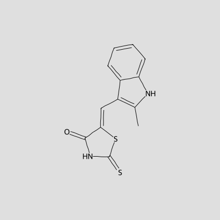 Cc1[nH]c2ccccc2c1/C=C1\SC(=S)NC1=O